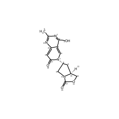 Cc1nc(O)c2cn([C@@H]3C[C@H]4COC(=O)N4C3)c(=O)cc2n1